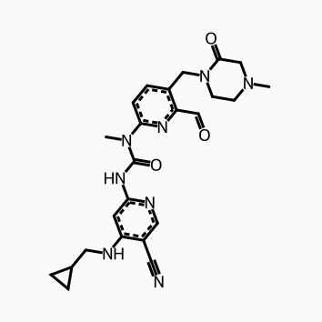 CN1CCN(Cc2ccc(N(C)C(=O)Nc3cc(NCC4CC4)c(C#N)cn3)nc2C=O)C(=O)C1